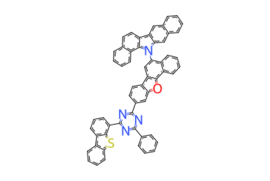 c1ccc(-c2nc(-c3ccc4c(c3)oc3c5ccccc5c(-n5c6cc7ccccc7cc6c6ccc7ccccc7c65)cc43)nc(-c3cccc4c3sc3ccccc34)n2)cc1